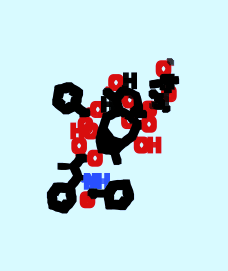 CO[Si](C)(C)O[Si](C)(C)O[C@H]1C[C@H]2OC[C@@]2(OC(C)=O)[C@H]2[C@H](OC(=O)c3ccccc3)[C@]3(O)C[C@H](OC(=O)[C@H](C)[C@@H](NC(=O)c4ccccc4)c4ccccc4)C(C)=C([C@@H](O)C(=O)[C@]12C)C3(C)C